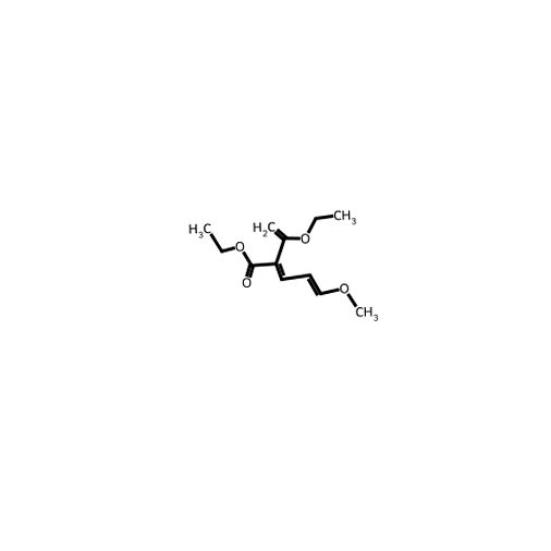 C=C(OCC)/C(=C\C=C\OC)C(=O)OCC